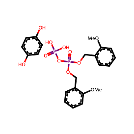 COc1ccccc1COP(=O)(OCc1ccccc1OC)OP(=O)(O)O.Oc1ccc(O)cc1